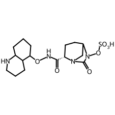 O=C(NOC1CCCC2NCCCC21)[C@@H]1CCC2CN1C(=O)N2OS(=O)(=O)O